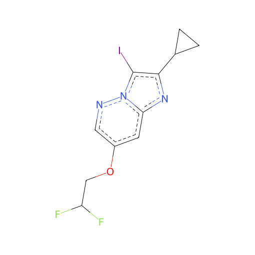 FC(F)COc1cnn2c(I)c(C3CC3)nc2c1